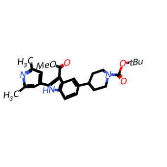 COC(=O)c1c(-c2cc(C)nc(C)c2)[nH]c2ccc(C3CCN(C(=O)OC(C)(C)C)CC3)cc12